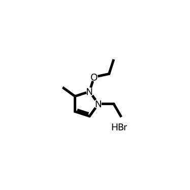 Br.CCON1C(C)C=CN1CC